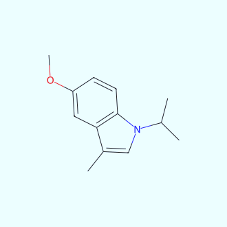 COc1ccc2c(c1)c(C)cn2C(C)C